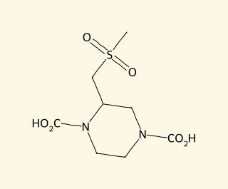 CS(=O)(=O)CC1CN(C(=O)O)CCN1C(=O)O